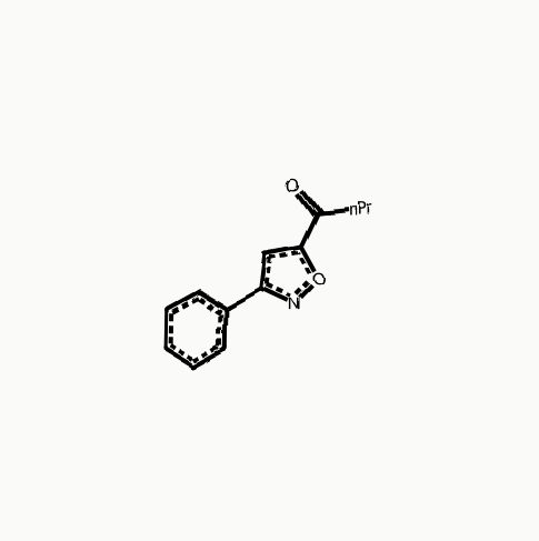 CCCC(=O)c1cc(-c2ccccc2)no1